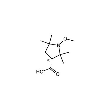 CON1C(C)(C)C[C@@H](C(=O)O)C1(C)C